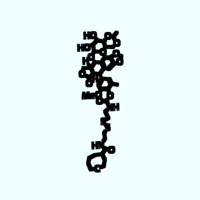 COc1cc([C@@H]2c3cc4c(cc3[C@@H](OC3OC5COC(C)OC5C(O)C3O)[C@H]3COC(=O)[C@H]23)OCO4)cc(C)c1OC(=O)NCCSSCCNC(=O)C1CCCCCCC1